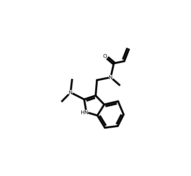 C=CC(=O)N(C)Cc1c(N(C)C)[nH]c2ccccc12